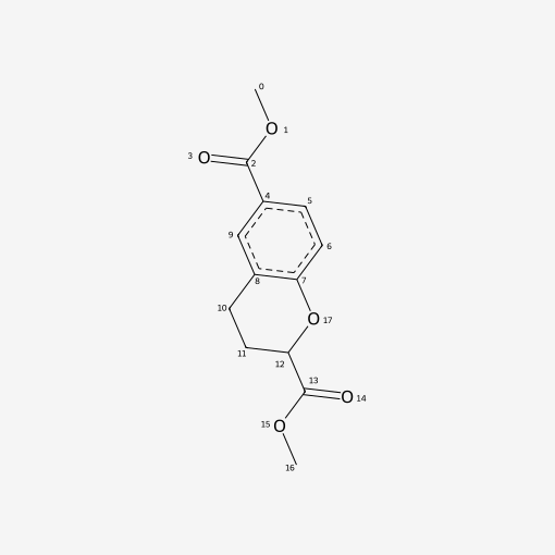 COC(=O)c1ccc2c(c1)CCC(C(=O)OC)O2